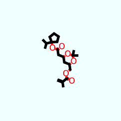 C=C(C)C(=O)OCC1CC(CC(=O)OC2(C(C)C)CCCC2)OC(C)(C)O1